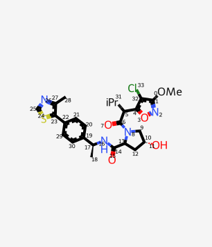 COc1noc(C(C(=O)N2C[C@H](O)CC2C(=O)N[C@@H](C)c2ccc(-c3scnc3C)cc2)C(C)C)c1Cl